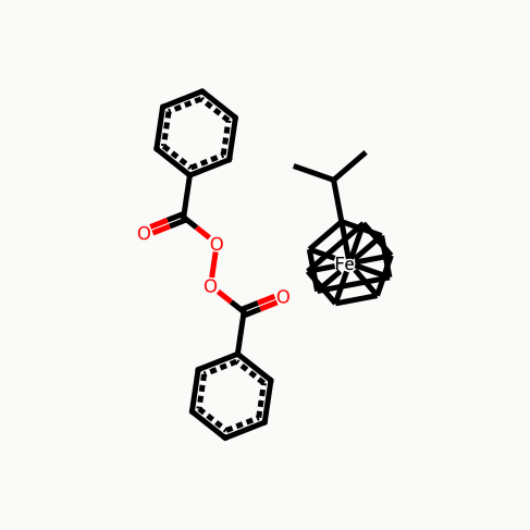 CC(C)[C]12[CH]3[CH]4[CH]5[CH]1[Fe]45321678[CH]2[CH]1[CH]6[CH]7[CH]28.O=C(OOC(=O)c1ccccc1)c1ccccc1